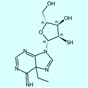 CCC12N=CN([C@@H]3O[C@H](CO)[C@@H](O)[C@H]3S)C1=NC=NC2=N